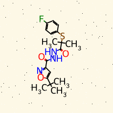 CC(C)(Sc1ccc(F)cc1)C(=O)NNC(=O)c1cc(C(C)(C)C)on1